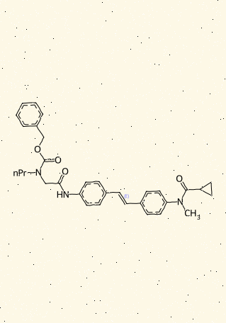 CCCN(CC(=O)Nc1ccc(/C=C/c2ccc(N(C)C(=O)C3CC3)cc2)cc1)C(=O)OCc1ccccc1